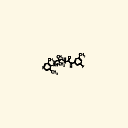 Cc1cc(F)cc(NC(=O)NCC(C)(C)CNc2c(C)cncc2C)c1